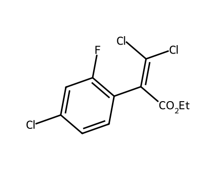 CCOC(=O)C(=C(Cl)Cl)c1ccc(Cl)cc1F